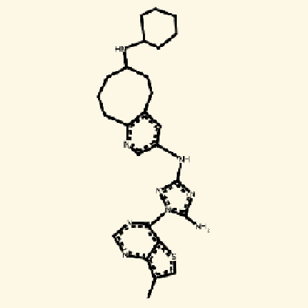 Cc1csc2c(-n3nc(Nc4cnc5c(c4)CCC(NC4CCCCC4)CCC5)nc3N)ncnc12